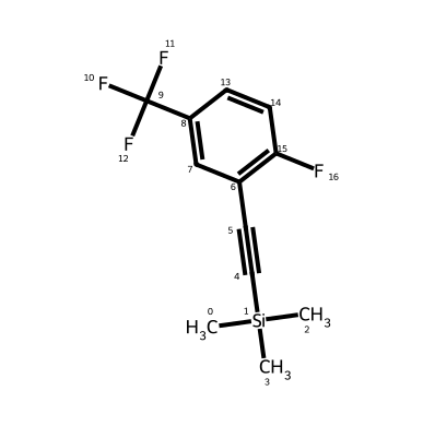 C[Si](C)(C)C#Cc1cc(C(F)(F)F)ccc1F